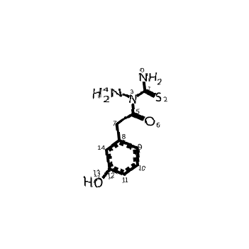 NC(=S)N(N)C(=O)Cc1cccc(O)c1